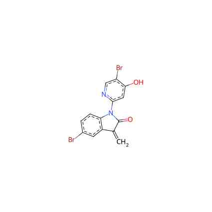 C=C1C(=O)N(c2cc(O)c(Br)cn2)c2ccc(Br)cc21